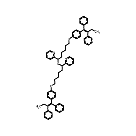 CCC(=C(c1ccccc1)c1ccc(OCCCCCC(SC(CCCCCOc2ccc(C(=C(CC)c3ccccc3)c3ccccc3)cc2)c2ccccn2)c2ccccn2)cc1)c1ccccc1